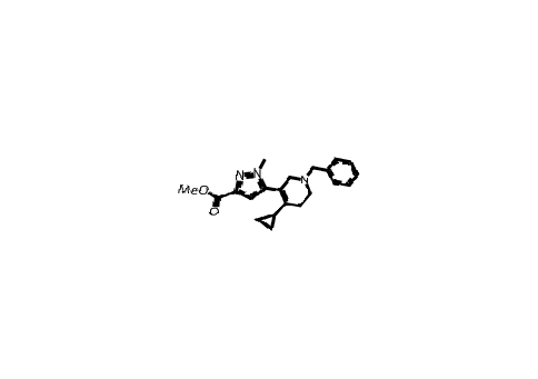 COC(=O)c1cc(C2=C(C3CC3)CCN(Cc3ccccc3)C2)n(C)n1